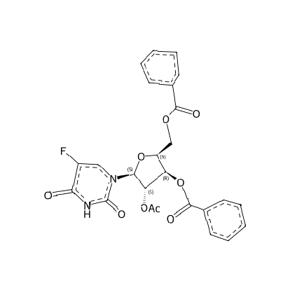 CC(=O)O[C@H]1[C@H](OC(=O)c2ccccc2)[C@H](COC(=O)c2ccccc2)O[C@@H]1n1cc(F)c(=O)[nH]c1=O